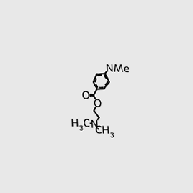 CNc1ccc(C(=O)OCCN(C)C)cc1